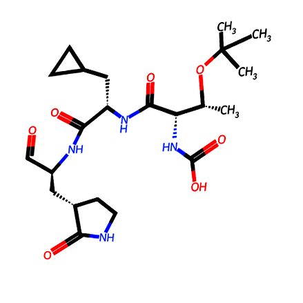 C[C@@H](OC(C)(C)C)[C@H](NC(=O)O)C(=O)N[C@@H](CC1CC1)C(=O)N[C@H](C=O)C[C@@H]1CCNC1=O